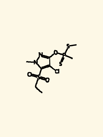 CCS(=O)(=O)c1c(Cl)c(OP(C)(=S)SC)nn1C